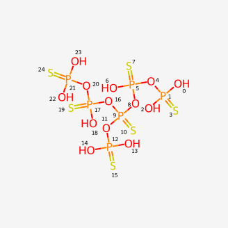 OP(O)(=S)OP(O)(=S)OP(=S)(OP(O)(O)=S)OP(O)(=S)OP(O)(O)=S